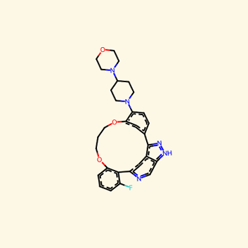 Fc1cccc2c1-c1cc3c(n[nH]c3cn1)-c1ccc(N3CCC(N4CCOCC4)CC3)c(c1)OCCCO2